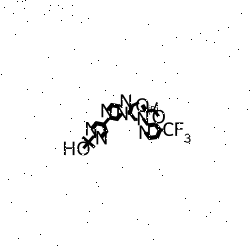 Cc1nc2cnc(-c3cnc(C(C)(C)O)nc3)cn2c1CN1C(=O)[C@@H](C)Oc2c(C(F)(F)F)ccnc21